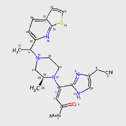 CNC(=O)/C=C(\c1nc(CC#N)c[nH]1)N1CCN(C(C)c2ccc3ccsc3n2)C[C@@H]1C